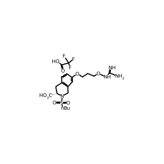 CCCCS(=O)(=O)N1Cc2cc(OCCCONC(=N)N)ccc2C[C@H]1C(=O)O.O=C(O)C(F)(F)F